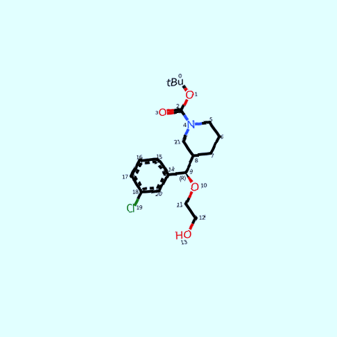 CC(C)(C)OC(=O)N1CCCC([C@@H](OCCO)c2cccc(Cl)c2)C1